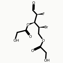 O=C[C@@H](F)[C@H](OC(=O)CO)[C@@H](Br)COC(=O)CO